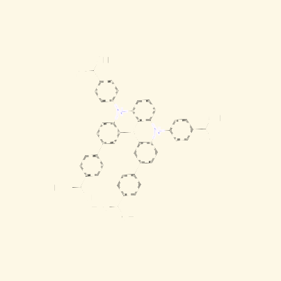 CC(C)c1ccc(-c2ccc3c(c2)B2c4cc(-c5ccc(C(C)C)cc5)ccc4N(c4ccc(C(C)C)cc4)c4cccc(c42)N3c2ccc(C(C)C)cc2)cc1